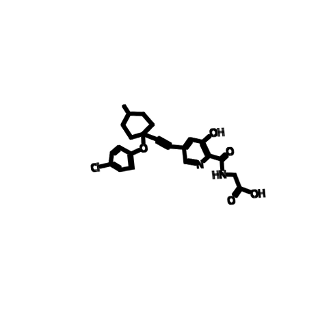 CC1CCC(C#Cc2cnc(C(=O)NCC(=O)O)c(O)c2)(Oc2ccc(Cl)cc2)CC1